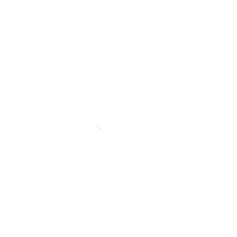 CC1Cc2ccccc2C2=[N+]1CCC2.[I-]